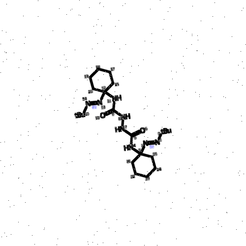 CC(C)(C)/N=N/C1(NC(=O)NNC(=O)NC2(/N=N/C(C)(C)C)CCCCC2)CCCCC1